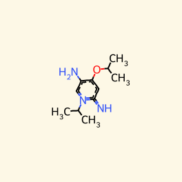 CC(C)Oc1cc(=N)n(C(C)C)cc1N